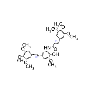 COc1cc(/C=C/c2cc(OC)c(OC)c(OC)c2)cc(NC(=O)/C=C/c2cc(OC)c(OC)c(OC)c2)c1O